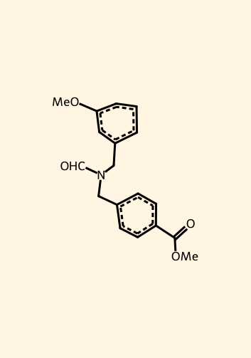 COC(=O)c1ccc(CN(C=O)Cc2cccc(OC)c2)cc1